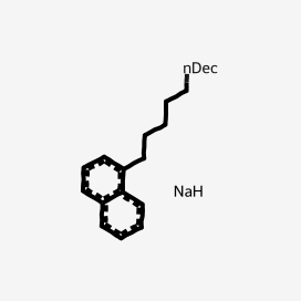 CCCCCCCCCCCCCCCc1cccc2ccccc12.[NaH]